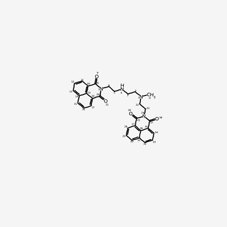 CN(CCNCCN1C(=O)c2cccc3cccc(c23)C1=O)CCN1C(=O)c2cccc3cccc(c23)C1=O